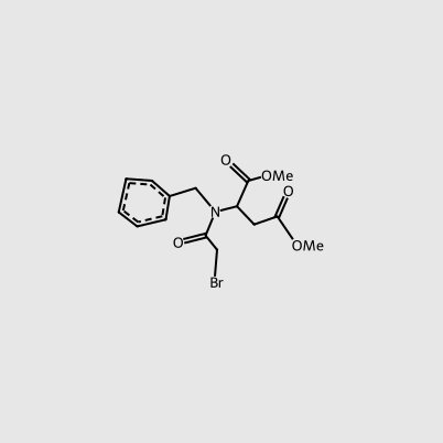 COC(=O)CC(C(=O)OC)N(Cc1ccccc1)C(=O)CBr